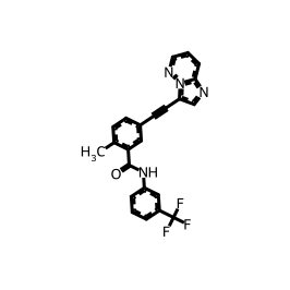 Cc1ccc(C#Cc2cnc3cccnn23)cc1C(=O)Nc1cccc(C(F)(F)F)c1